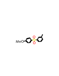 COc1ccc(S(=O)(=O)c2cccc(C)c2)cc1